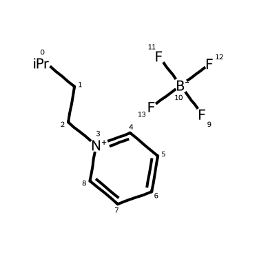 CC(C)CC[n+]1ccccc1.F[B-](F)(F)F